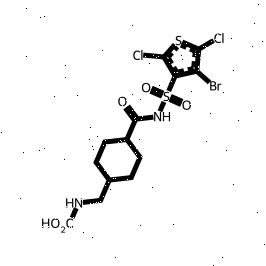 O=C(O)NCC1CCC(C(=O)NS(=O)(=O)c2c(Cl)sc(Cl)c2Br)CC1